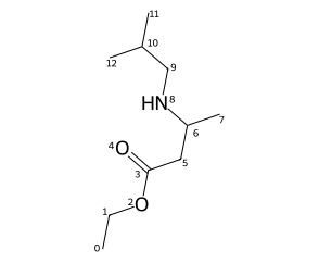 CCOC(=O)CC(C)NCC(C)C